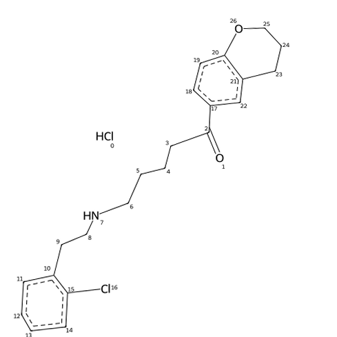 Cl.O=C(CCCCNCCc1ccccc1Cl)c1ccc2c(c1)CCCO2